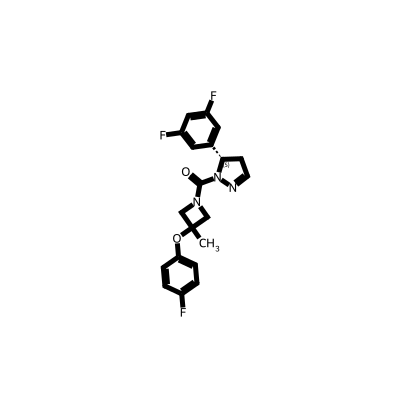 CC1(Oc2ccc(F)cc2)CN(C(=O)N2N=CC[C@H]2c2cc(F)cc(F)c2)C1